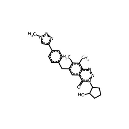 Cc1c(Cc2ccc(-c3cn(C)nn3)cc2)cc2c(=O)n(C3CCCC3O)nnc2c1C